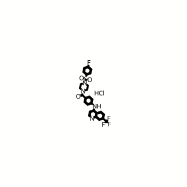 Cl.O=C(c1ccc(Nc2ccnc3cc(C(F)(F)F)ccc23)cc1)N1CCN(S(=O)(=O)c2ccc(F)cc2)CC1